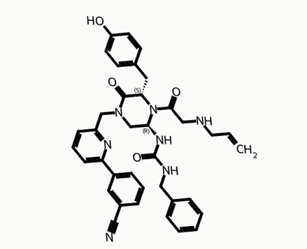 C=CCNCC(=O)N1[C@@H](NC(=O)NCc2ccccc2)CN(Cc2cccc(-c3cccc(C#N)c3)n2)C(=O)[C@@H]1Cc1ccc(O)cc1